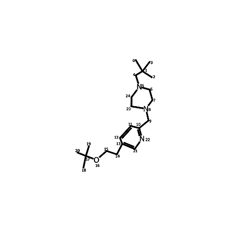 CC(C)(C)CN1CCN(Cc2ccc(CCOC(C)(C)C)cn2)CC1